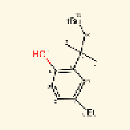 CCc1ccc(O)c(C(C)(C)CC(C)(C)C)c1